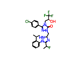 CC(F)C1=NC(Cn2nc(-c3ccc(Cl)cc3)n(C[C@H](O)C(F)(F)F)c2=O)NN1c1ccccc1C(C)C